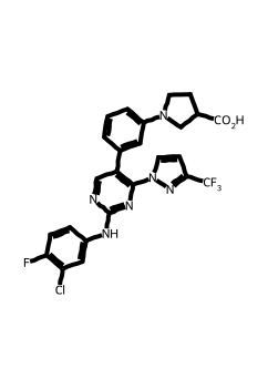 O=C(O)C1CCN(c2cccc(-c3cnc(Nc4ccc(F)c(Cl)c4)nc3-n3ccc(C(F)(F)F)n3)c2)C1